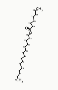 CCCCCCCCCCCCCCCCOC(=O)CCCCCCC